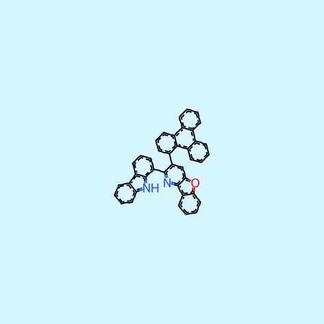 c1ccc2c(c1)[nH]c1c(-c3nc4c(cc3-c3cccc5c6ccccc6c6ccccc6c35)oc3ccccc34)cccc12